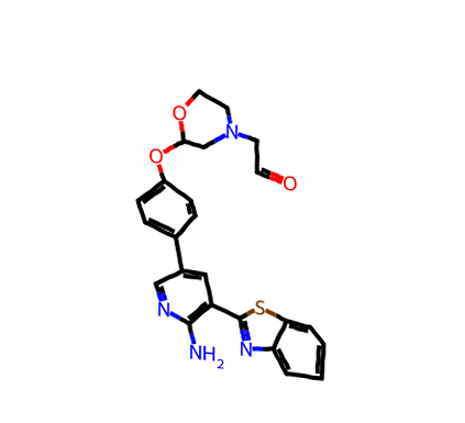 Nc1ncc(-c2ccc(OC3CN(CC=O)CCO3)cc2)cc1-c1nc2ccccc2s1